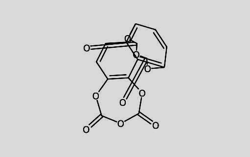 O=C1OC(=O)Oc2c(ccc3c4ccc(oc(=O)oc(=O)o4)c23)O1